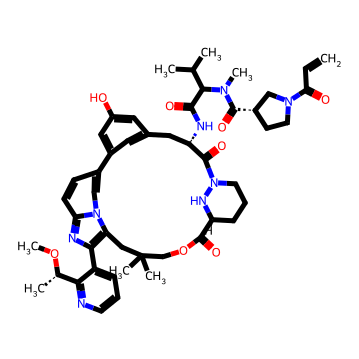 C=CC(=O)N1CC[C@H](C(=O)N(C)C(C(=O)N[C@H]2Cc3cc(O)cc(c3)-c3ccc4nc(-c5cccnc5[C@H](C)OC)c(n4c3)CC(C)(C)COC(=O)[C@@H]3CCCN(N3)C2=O)C(C)C)C1